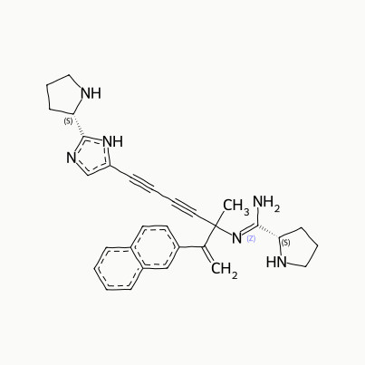 C=C(c1ccc2ccccc2c1)C(C)(C#CC#Cc1cnc([C@@H]2CCCN2)[nH]1)/N=C(\N)[C@@H]1CCCN1